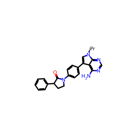 CC(C)n1cc(-c2ccc(N3CCC(c4ccccc4)C3=O)cc2)c2c(N)ncnc21